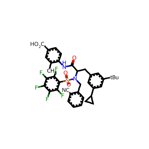 Cc1cc(C(=O)O)ccc1NC(=O)C(Cc1cc(C2CC2)cc(C(C)(C)C)c1)N(Cc1ccccc1C#N)S(=O)(=O)c1c(F)c(F)c(F)c(F)c1F